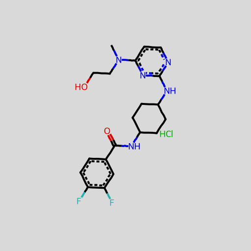 CN(CCO)c1ccnc(NC2CCC(NC(=O)c3ccc(F)c(F)c3)CC2)n1.Cl